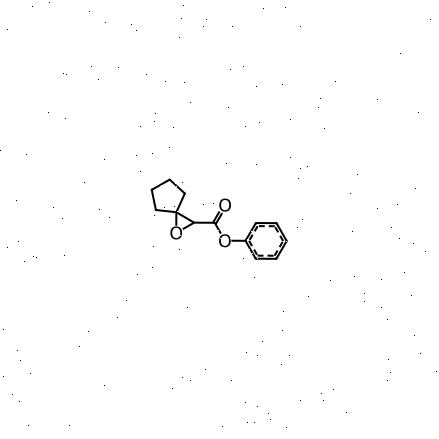 O=C(Oc1ccccc1)C1OC12CCCC2